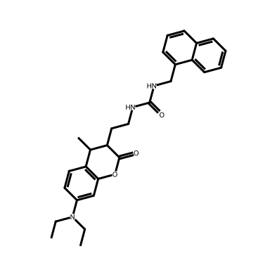 CCN(CC)c1ccc2c(c1)OC(=O)C(CCNC(=O)NCc1cccc3ccccc13)C2C